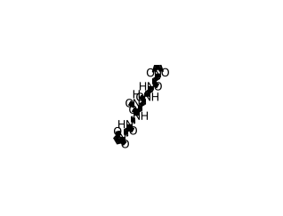 O=CNC(CC(=O)NCCNC(=O)CCN1C(=O)C=CC1=O)CC(=O)NCCNC(=O)CCN1C(=O)C=CC1=O